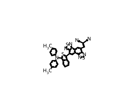 Cc1ccc(N(c2ccc(C)cc2)c2sc(-c3cc4c(cc(C=C(C#N)C#N)c5nsnc54)c4nsnc34)c3ccccc23)cc1